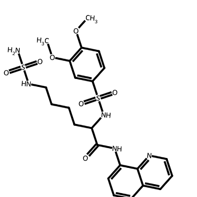 COc1ccc(S(=O)(=O)NC(CCCCNS(N)(=O)=O)C(=O)Nc2cccc3cccnc23)cc1OC